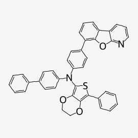 c1ccc(-c2ccc(N(c3ccc(-c4cccc5c4oc4ncccc45)cc3)c3sc(-c4ccccc4)c4c3OCCO4)cc2)cc1